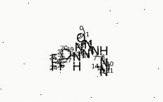 CCOc1nc(NCCn2ccnc2C)nc(Nc2cccc(C(F)(F)F)c2)n1